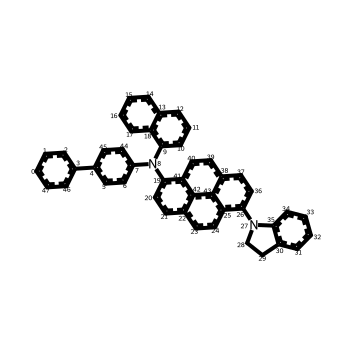 c1ccc(-c2ccc(N(c3cccc4ccccc34)c3ccc4ccc5c(N6CCc7ccccc76)ccc6ccc3c4c65)cc2)cc1